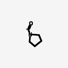 O=[C]N1CCCC1